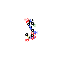 Cc1c(C(=O)O)c(-c2cccc(N3CCN(c4ccc(NS(=O)(=O)c5ccc(N[C@H](CCO)CSc6ccccc6)c(S(C)(=O)=O)c5)cc4)CC3)c2)c(-c2ccc(Cl)cc2)n1C(C)C